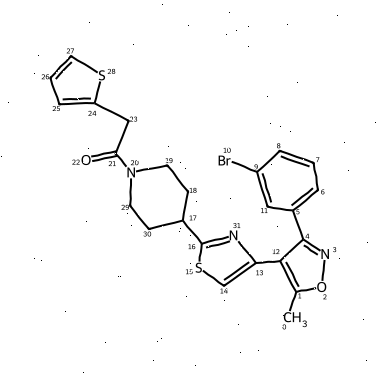 Cc1onc(-c2cccc(Br)c2)c1-c1csc(C2CCN(C(=O)Cc3cccs3)CC2)n1